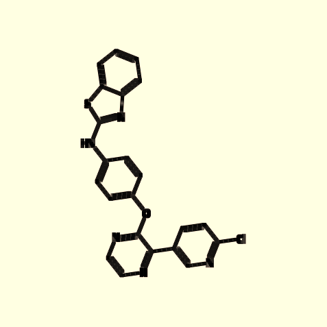 Clc1ccc(-c2nccnc2Oc2ccc(Nc3nc4ccccc4s3)cc2)cn1